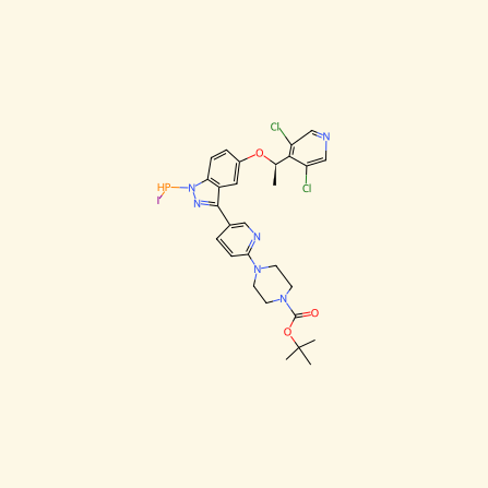 C[C@@H](Oc1ccc2c(c1)c(-c1ccc(N3CCN(C(=O)OC(C)(C)C)CC3)nc1)nn2PI)c1c(Cl)cncc1Cl